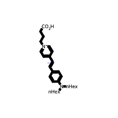 CCCCCCN(CCCCCC)c1ccc(/C=C/c2cc[n+](CCCC(=O)O)cc2)cc1